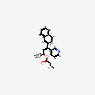 CC(C)CC(=O)OC(C=C(c1cccnc1)c1ccc2ccccc2c1)C(C)(C)C